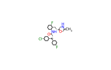 C[C@H]1CO[C@H](CCc2c(F)cccc2NC(=O)C[C@H](c2ccc(F)cc2)c2ccc(Cl)cc2)CN1